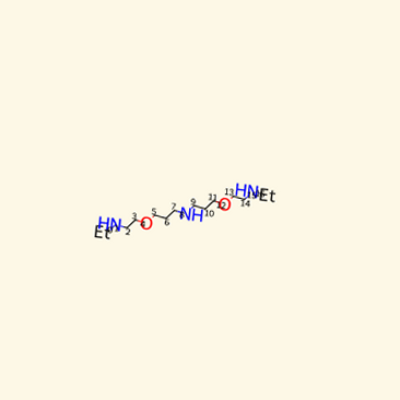 CCNCCOCCCNCCCOCCNCC